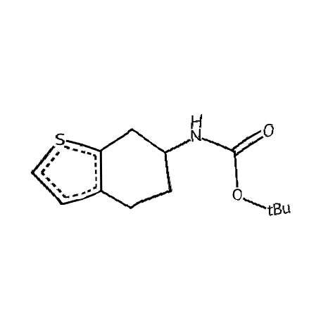 CC(C)(C)OC(=O)NC1CCc2ccsc2C1